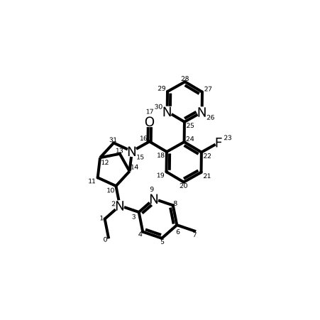 CCN(c1ccc(C)cn1)C1CC2CC1N(C(=O)c1cccc(F)c1-c1ncccn1)C2